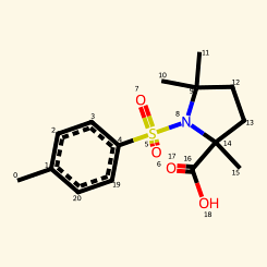 Cc1ccc(S(=O)(=O)N2C(C)(C)CCC2(C)C(=O)O)cc1